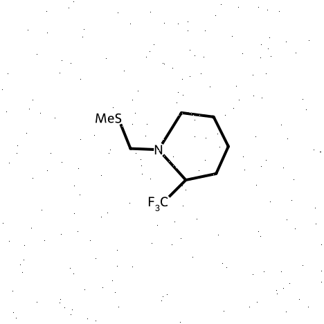 CSCN1CCCCC1C(F)(F)F